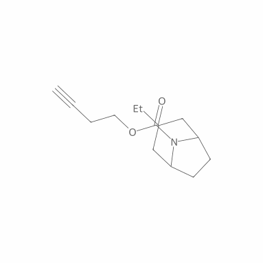 C#CCCOC(=O)N1C2CCC1CC(CC)C2